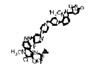 Cn1nc(C2CCC(=O)NC2=O)c2cccc(N3CCC(CN4CCN(c5cc(Nc6ccc7c(c6)c6c(c(=O)n7C)OCC(F)(F)[C@H](C7CC7)N6)c(F)cn5)CC4)CC3)c21